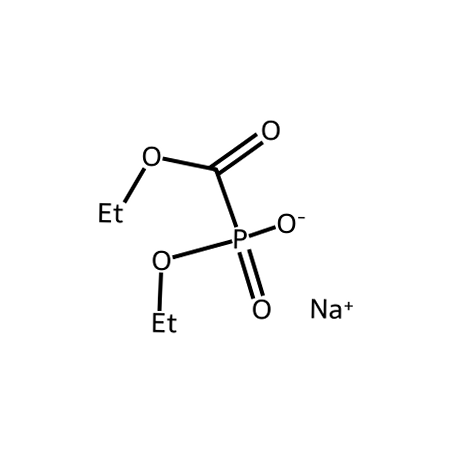 CCOC(=O)P(=O)([O-])OCC.[Na+]